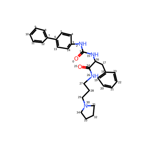 O=C(Nc1ccc(-c2ccccc2)cc1)NC(Cc1ccccc1)C(=O)NCCCN1CCCC1